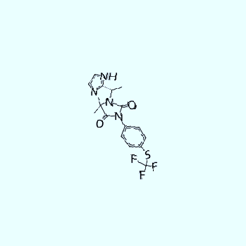 CC(c1ncc[nH]1)N1C(=O)N(c2ccc(SC(F)(F)F)cc2)C(=O)C1(C)C